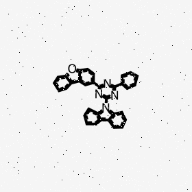 c1ccc(-c2nc(-c3ccc4oc5ccccc5c4c3)nc(-n3c4ccccc4c4ccccc43)n2)cc1